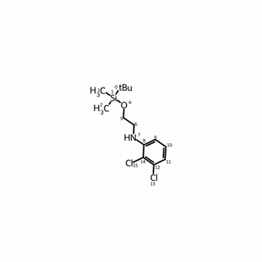 CC(C)(C)[Si](C)(C)OCCNc1cccc(Cl)c1Cl